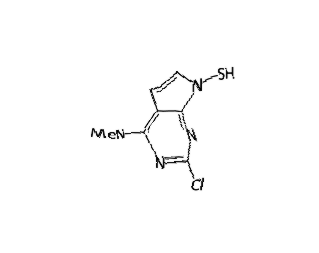 CNc1nc(Cl)nc2c1ccn2S